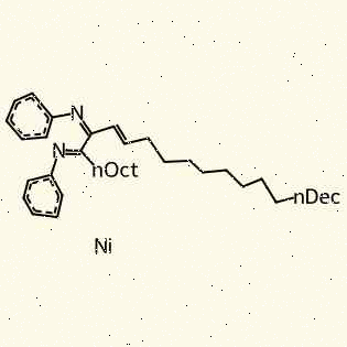 CCCCCCCCCCCCCCCCCCC=CC(=Nc1ccccc1)C(CCCCCCCC)=Nc1ccccc1.[Ni]